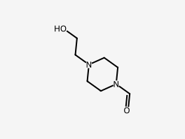 O=CN1CCN(CCO)CC1